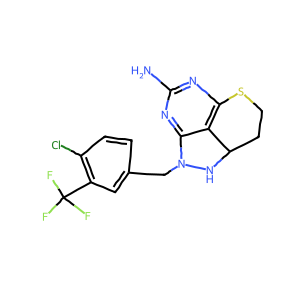 Nc1nc2c3c(n1)N(Cc1ccc(Cl)c(C(F)(F)F)c1)NC3CCS2